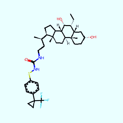 CC[C@H]1[C@@H](O)[C@H]2C3CC[C@H]([C@H](C)CCNC(=O)NSc4ccc(C5(C(F)(F)F)CC5)cc4)[C@@]3(C)CC[C@@H]2[C@@]2(C)CC[C@@H](O)C[C@@H]12